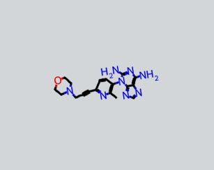 Cc1nc(C#CCN2CCOCC2)ccc1-n1c(N)nc(N)c2ncnc1-2